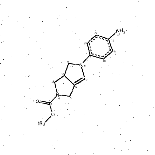 CC(C)(C)OC(=O)N1CC2=CN(c3ccc(N)cc3)CC2C1